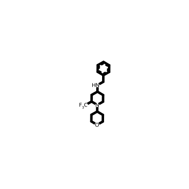 FC(F)(F)C1CC(NCc2ccccc2)CCN1C1CCOCC1